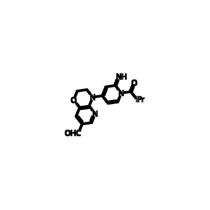 CC(C)C(=O)n1ccc(N2CCOc3cc(C=O)cnc32)cc1=N